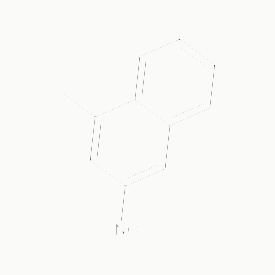 Cc1cc(N=O)cc2ccccc12